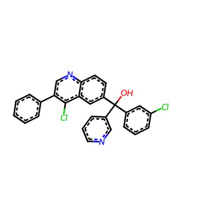 OC(c1cccnc1)(c1cccc(Cl)c1)c1ccc2ncc(-c3ccccc3)c(Cl)c2c1